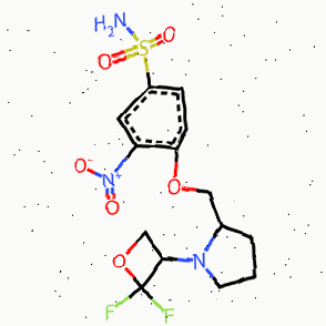 NS(=O)(=O)c1ccc(OCC2CCCN2C2COC2(F)F)c([N+](=O)[O-])c1